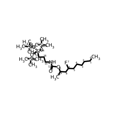 CCCCCCC(F)CC(C)OC(=O)NCCC[Si](O[Si](C)(C)C)(O[Si](C)(C)C)O[Si](C)(C)C